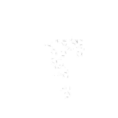 CC(C)(O)C(=O)c1ccccc1.CC(C)c1cccc2c1Cc1ccccc1[S+]2[O-].COc1cccc(OC)c1C(=O)P(=O)(CC(C)CC(C)(C)C)C(=O)c1c(OC)cccc1OC.Cc1cc(C)c(C(=O)P(=O)(c2ccccc2)c2ccccc2)c(C)c1.O=C(c1ccccc1)C1(O)CCCCC1